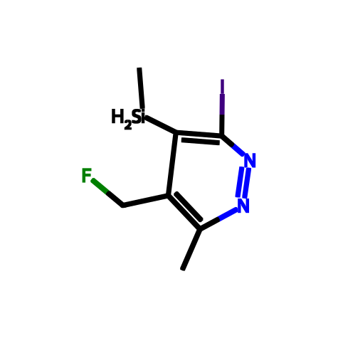 C[SiH2]c1c(I)nnc(C)c1CF